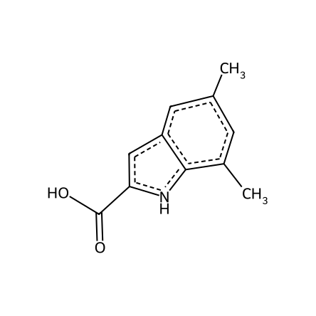 Cc1cc(C)c2[nH]c(C(=O)O)cc2c1